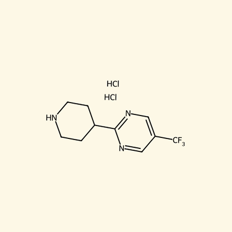 Cl.Cl.FC(F)(F)c1cnc(C2CCNCC2)nc1